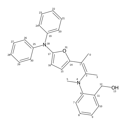 C/C(=C(\C)N(C)c1ccccc1CO)c1ccc(N(c2ccccc2)c2ccccc2)o1